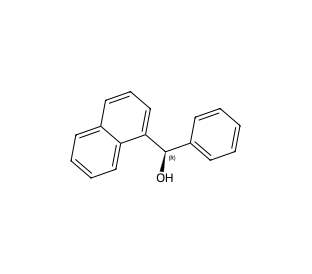 O[C@H](c1ccccc1)c1cccc2ccccc12